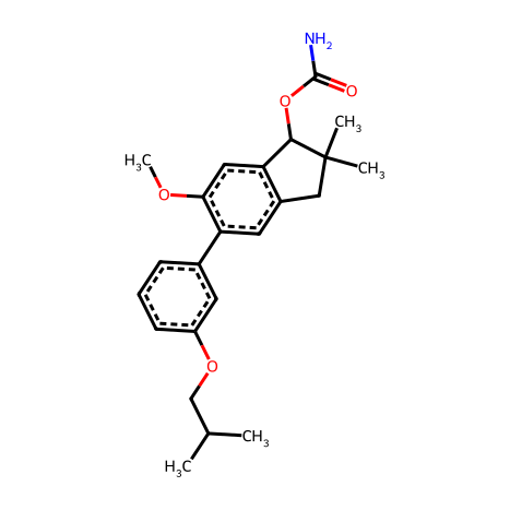 COc1cc2c(cc1-c1cccc(OCC(C)C)c1)CC(C)(C)C2OC(N)=O